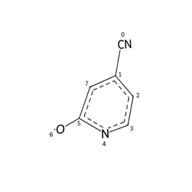 N#Cc1ccnc([O])c1